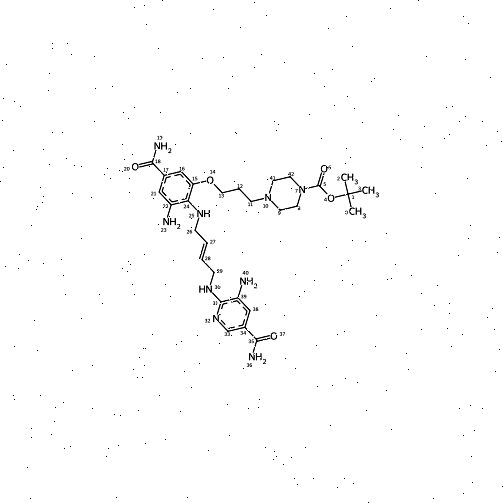 CC(C)(C)OC(=O)N1CCN(CCCOc2cc(C(N)=O)cc(N)c2NCC=CCNc2ncc(C(N)=O)cc2N)CC1